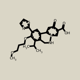 COCCCOc1c(-c2nccs2)cc2c(c1C(C)C)CNn1cc(C(=O)O)c(=O)cc1-2